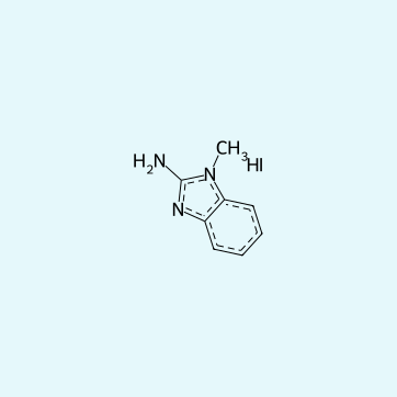 Cn1c(N)nc2ccccc21.I